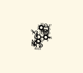 CCOC(=O)CC(c1ccc(C)c(CN2C[C@@H](C)Oc3ccccc3S2(=O)=O)c1)c1cc(OC)c2c(c1)nnn2C